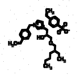 C=Cc1ccc(C[n+]2ccn(CC(O)COCC(CC)CCCC)c2)cc1.C=Cc1ccc(S(=O)(=O)[O-])cc1